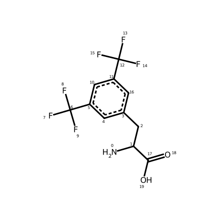 NC(Cc1cc(C(F)(F)F)cc(C(F)(F)F)c1)C(=O)O